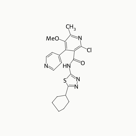 COc1c(C)nc(Cl)c(C(=O)Nc2nnc(C3CCCCC3)s2)c1-c1ccncc1